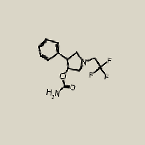 NC(=O)OC1CN(CC(F)(F)F)CC1c1ccccc1